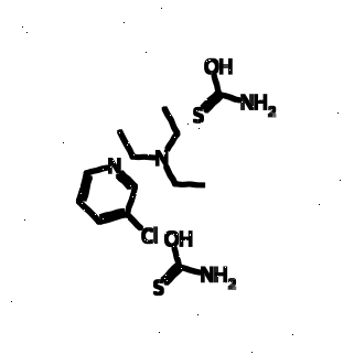 CCN(CC)CC.Clc1cccnc1.NC(O)=S.NC(O)=S